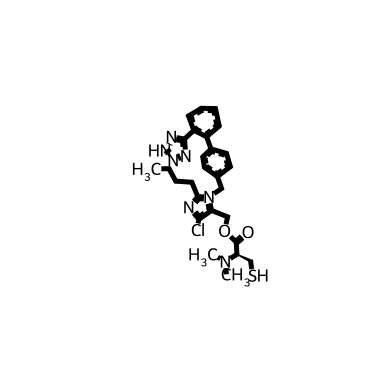 CCCCc1nc(Cl)c(COC(=O)[C@@H](CS)N(C)C)n1Cc1ccc(-c2ccccc2-c2nn[nH]n2)cc1